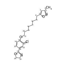 Cc1cc(CCCCCCCCOc2ccc(C3=NCCO3)cc2Cl)on1